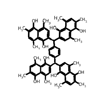 Cc1cc(C)c2c(O)c(C(c3ccc(C(c4cc(C)c5c(O)c(C)cc(C)c5c4O)c4cc(C)c5c(O)c(C)cc(C)c5c4O)cc3)c3cc(C)c4c(O)c(C)cc(C)c4c3O)cc(C)c2c1O